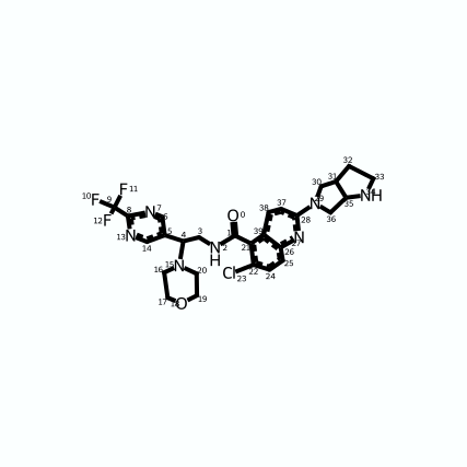 O=C(NCC(c1cnc(C(F)(F)F)nc1)N1CCOCC1)c1c(Cl)ccc2nc(N3CC4CCNC4C3)ccc12